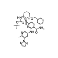 Cc1ncc(Nc2nc(N[C@H]3[C@@H](NC(=O)OC(C)(C)C)CCC[C@@H]3OCc3ccccc3)ccc2C(N)=O)cc1-n1nccn1